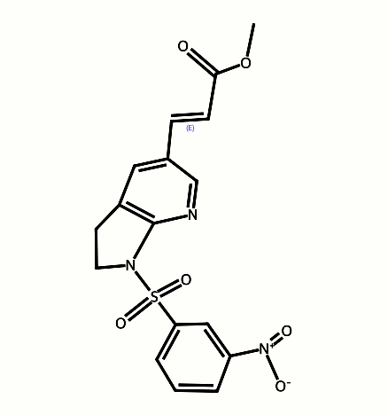 COC(=O)/C=C/c1cnc2c(c1)CCN2S(=O)(=O)c1cccc([N+](=O)[O-])c1